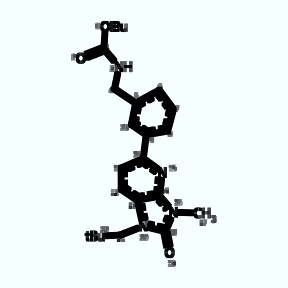 CC(C)COC(=O)NCc1cccc(-c2ccc3c(n2)n(C)c(=O)n3CC(C)(C)C)c1